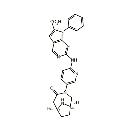 O=C(O)c1cc2cnc(Nc3ccc(N4C[C@H]5CC[C@@H](CC4=O)N5)cn3)nc2n1-c1ccccc1